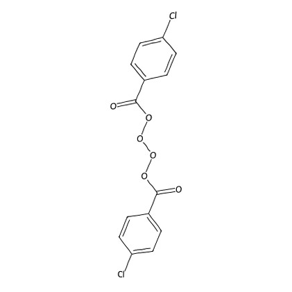 O=C(OOOOC(=O)c1ccc(Cl)cc1)c1ccc(Cl)cc1